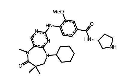 COc1cc(C(=O)N[C@@H]2CCNC2)ccc1Nc1ncc2c(n1)N(C1CCCCC1)CC(C)(C)C(=O)N2C